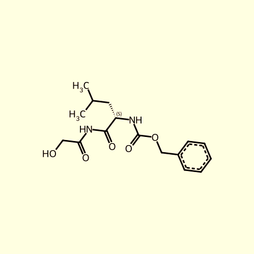 CC(C)C[C@H](NC(=O)OCc1ccccc1)C(=O)NC(=O)CO